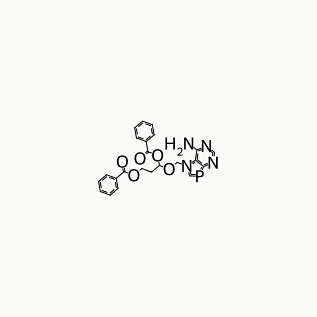 Nc1ncnc2pcn(COC(CCOC(=O)c3ccccc3)OC(=O)c3ccccc3)c12